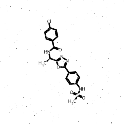 C[C@@H](NC(=O)c1ccc(Cl)cc1)c1nnc(-c2ccc(NS(C)(=O)=O)cc2)o1